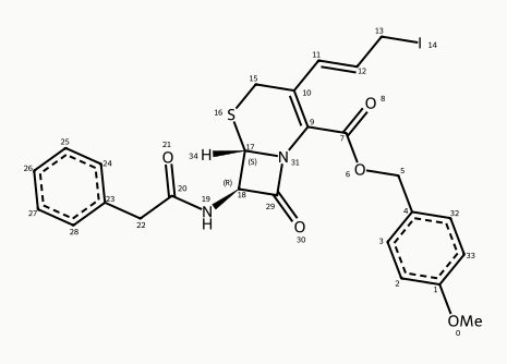 COc1ccc(COC(=O)C2=C(C=CCI)CS[C@H]3[C@H](NC(=O)Cc4ccccc4)C(=O)N23)cc1